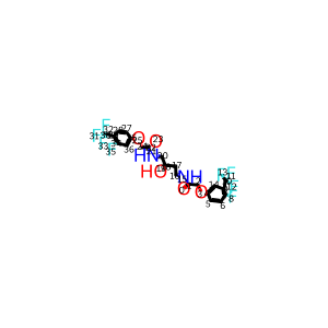 O=C(COc1ccc(F)c(C(F)(F)F)c1)NCC[C@H](O)CNC(=O)COc1ccc(C(F)(F)F)c(F)c1